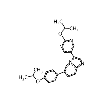 CC(C)Oc1ccc(-c2ccc3ncc(-c4cnc(OC(C)C)nc4)n3c2)cc1